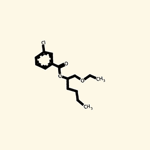 CCCCC(COCC)OC(=O)c1cccc(Cl)c1